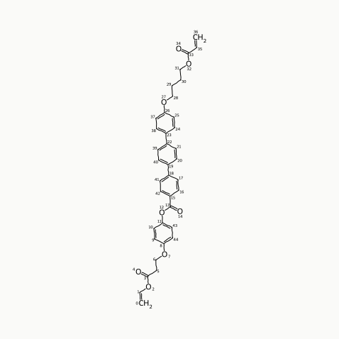 C=COC(=O)CCOc1ccc(OC(=O)c2ccc(-c3ccc(-c4ccc(OCCCCOC(=O)C=C)cc4)cc3)cc2)cc1